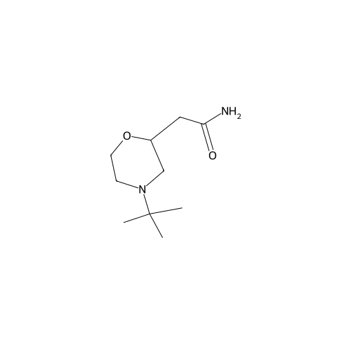 CC(C)(C)N1CCOC(CC(N)=O)C1